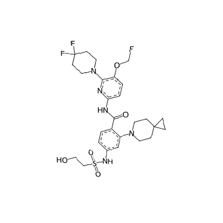 O=C(Nc1ccc(OCF)c(N2CCC(F)(F)CC2)n1)c1ccc(NS(=O)(=O)CCO)cc1N1CCC2(CC1)CC2